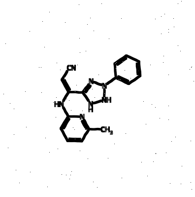 Cc1cccc(NC(=CC#N)C2=NN(c3ccccc3)NN2)n1